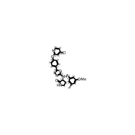 COc1cc(F)c([C@@H]2CNC(=O)[C@H]2Nc2nnc(-c3ccc(Oc4cc(Cl)ccn4)cc3)o2)c(F)c1